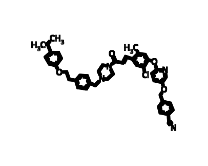 Cc1cc(Oc2ccc(OCc3ccc(C#N)cc3)cn2)c(Cl)cc1C=CC(=O)N1CCN(Cc2ccc(CCOc3ccc(C(C)C)cc3)cc2)CC1